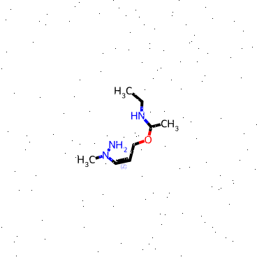 CCNC(C)OC/C=C\N(C)N